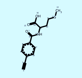 [C]#Cc1ccc(C(=O)NC(CCSC)C(=O)O)cc1